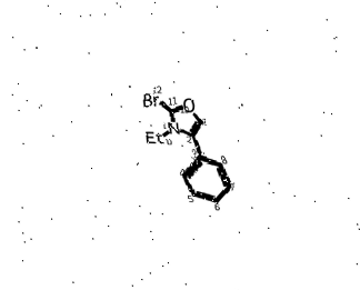 CCN1C(c2ccccc2)=COC1Br